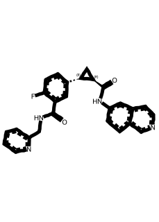 O=C(NCc1ccccn1)c1cc([C@@H]2C[C@H]2C(=O)Nc2ccc3cnccc3c2)ccc1F